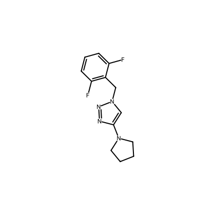 Fc1cccc(F)c1Cn1cc(N2CCCC2)nn1